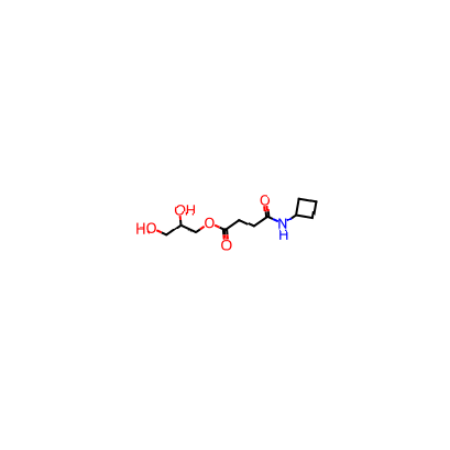 O=C(CCC(=O)OCC(O)CO)NC1CCC1